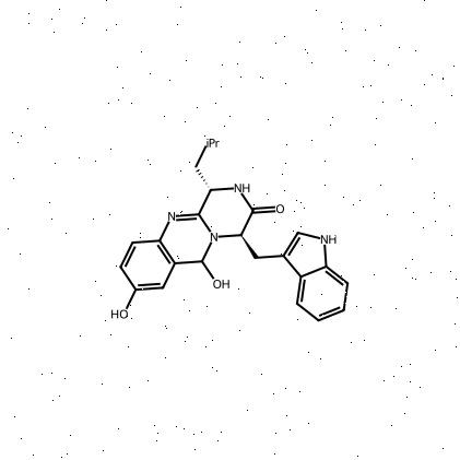 CC(C)C[C@@H]1NC(=O)[C@@H](Cc2c[nH]c3ccccc23)N2C1=Nc1ccc(O)cc1C2O